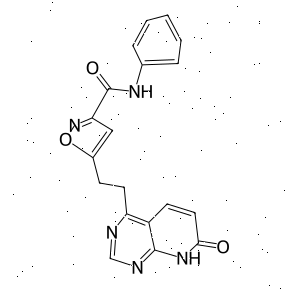 O=C(Nc1ccccc1)c1cc(CCc2ncnc3[nH]c(=O)ccc23)on1